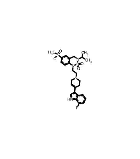 CC(C)N1Cc2cc(S(C)(=O)=O)ccc2N(CCN2CC=C(c3c[nH]c4c(F)cccc34)CC2)S1(=O)=O